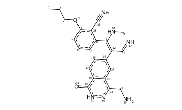 CCCOc1cccc(/C(NC)=C(/C=N)c2ccc3c(=O)[nH]nc(CN)c3c2)c1C#N